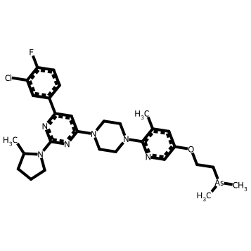 Cc1cc(OCC[As](C)C)cnc1N1CCN(c2cc(-c3ccc(F)c(Cl)c3)nc(N3CCCC3C)n2)CC1